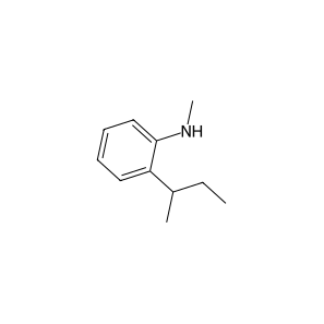 CCC(C)c1ccccc1NC